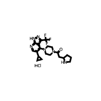 Cl.O=C(CC1CCCN1)N1CCN(c2c(C3CC3)cnc3[nH]nc(C(F)(F)F)c23)CC1